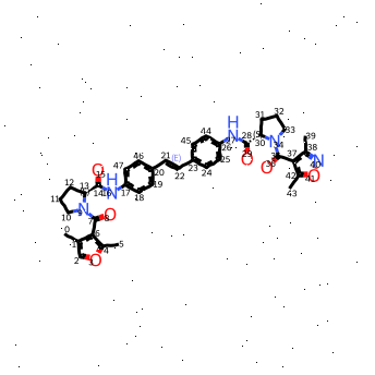 Cc1coc(C)c1C(=O)N1CCC[C@H]1C(=O)Nc1ccc(/C=C/c2ccc(NC(=O)[C@@H]3CCCN3C(=O)c3c(C)noc3C)cc2)cc1